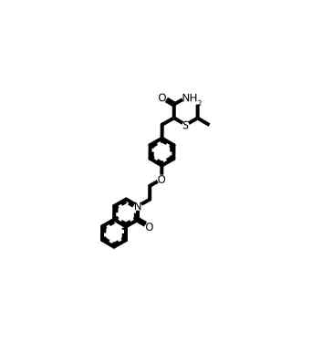 CC(C)SC(Cc1ccc(OCCn2ccc3ccccc3c2=O)cc1)C(N)=O